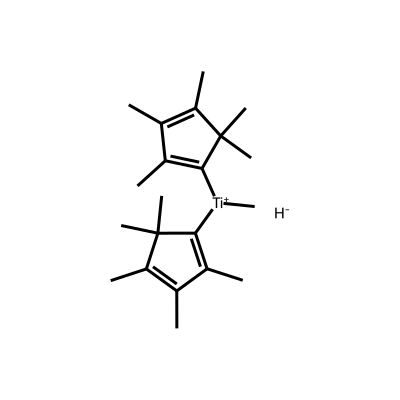 CC1=C(C)C(C)(C)[C]([Ti+]([CH3])[C]2=C(C)C(C)=C(C)C2(C)C)=C1C.[H-]